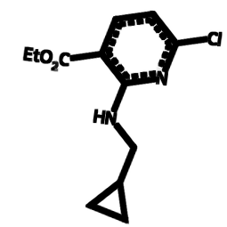 CCOC(=O)c1ccc(Cl)nc1NCC1CC1